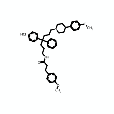 COc1ccc(CCC(=O)NCCCC(CCCN2CCC(c3ccc(OC)cc3)CC2)(c2ccccc2)c2ccccc2)cc1.Cl